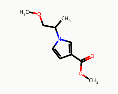 COCC(C)n1ccc(C(=O)OC)c1